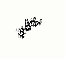 CC(C)(Nc1cnnc(-c2c[nH]c3ncc(F)cc23)n1)C(=O)NCC(F)(F)F